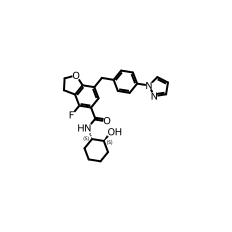 O=C(N[C@H]1CCCC[C@@H]1O)c1cc(Cc2ccc(-n3cccn3)cc2)c2c(c1F)CCO2